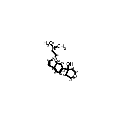 CN(C)CCN1C=CC2=CC=C(C3(O)CCOCC3)CC21